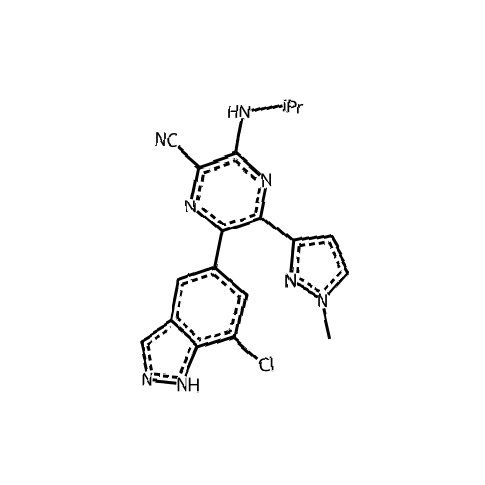 CC(C)Nc1nc(-c2ccn(C)n2)c(-c2cc(Cl)c3[nH]ncc3c2)nc1C#N